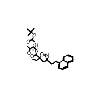 CCC1(C(=O)N[C@@H](CC(=O)OC(C)(C)C)C(C)=O)CC(CCc2cccc3ccccc23)=NO1